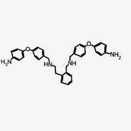 Nc1ccc(Oc2ccc(CNCCc3ccccc3CNCc3ccc(Oc4ccc(N)cc4)cc3)cc2)cc1